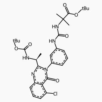 C[C@H](NC(=O)OC(C)(C)C)c1nc2cccc(Cl)c2c(=O)n1-c1cccc(NC(=O)NC(C)(C)C(=O)OC(C)(C)C)c1